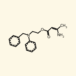 CC(N)=CC(=O)OCCN(Cc1ccccc1)c1ccccc1